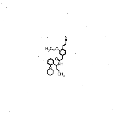 CCCC(NC(=O)Cc1ccc(C=CC#N)c(OCC)c1)c1ccccc1N1CCCCC1